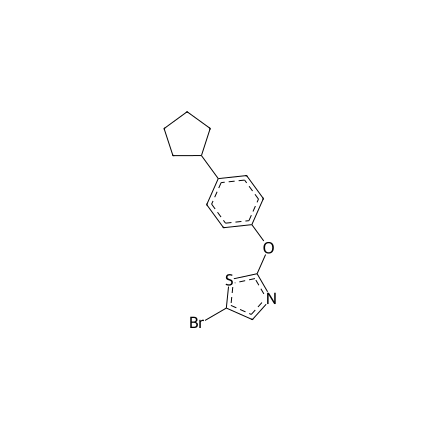 Brc1cnc(Oc2ccc(C3CCCC3)cc2)s1